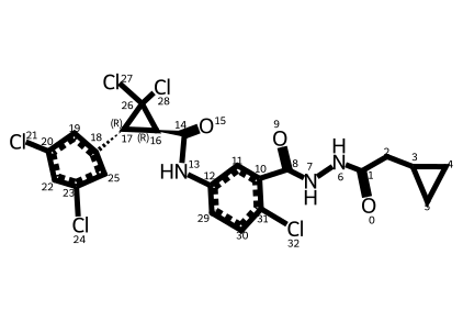 O=C(CC1CC1)NNC(=O)c1cc(NC(=O)[C@H]2[C@H](c3cc(Cl)cc(Cl)c3)C2(Cl)Cl)ccc1Cl